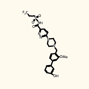 COc1cc(-c2cccc(O)c2)ccc1CN1CCN(c2ccc(C(=O)NS(=O)(=O)CCC(F)(F)F)nn2)CC1